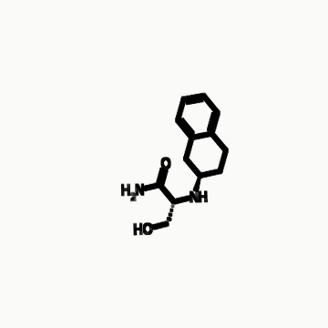 NC(=O)[C@@H](CO)N[C@@H]1CCc2ccccc2C1